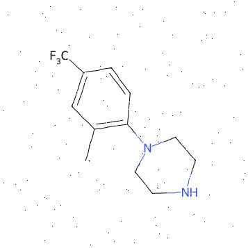 [CH2]c1cc(C(F)(F)F)ccc1N1CCNCC1